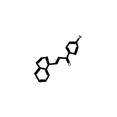 O=C(/C=C/c1cccc2ccccc12)c1ccc(Br)cc1